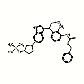 Cc1c(NC(=O)OCc2ccccc2)cccc1C(C[N+](=O)[O-])c1c[nH]c2cc(N3CCC(O[Si](C)(C)C(C)(C)C)C3)ccc12